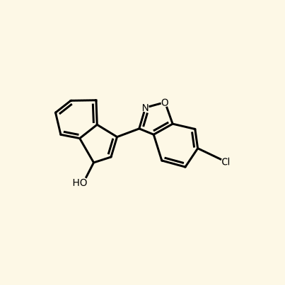 OC1C=C(c2noc3cc(Cl)ccc23)c2ccccc21